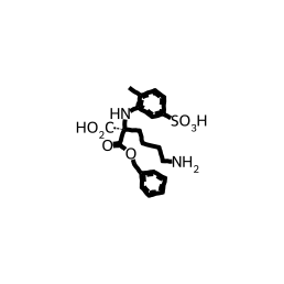 Cc1ccc(S(=O)(=O)O)cc1N[C@](CCCCN)(C(=O)O)C(=O)OCc1ccccc1